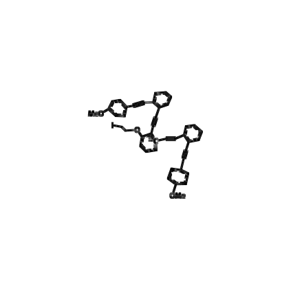 COc1ccc(C#Cc2ccccc2C#Cc2c(OCCI)ccc[12c]2C#Cc2ccccc2C#Cc2ccc(OC)cc2)cc1